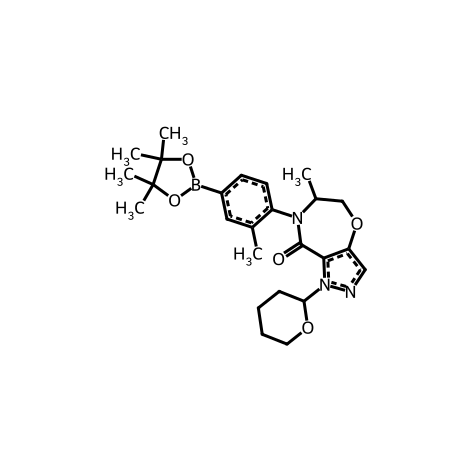 Cc1cc(B2OC(C)(C)C(C)(C)O2)ccc1N1C(=O)c2c(cnn2C2CCCCO2)OCC1C